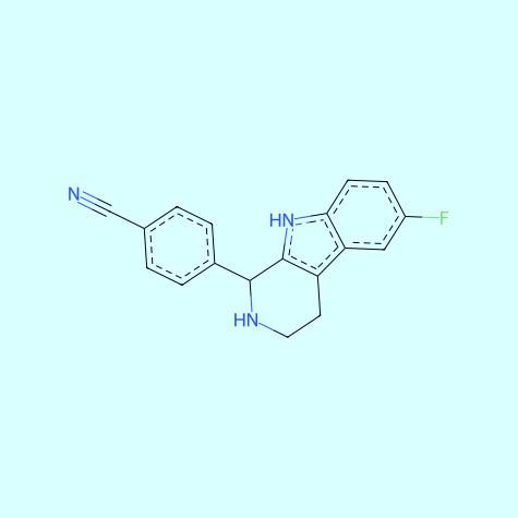 N#Cc1ccc(C2NCCc3c2[nH]c2ccc(F)cc32)cc1